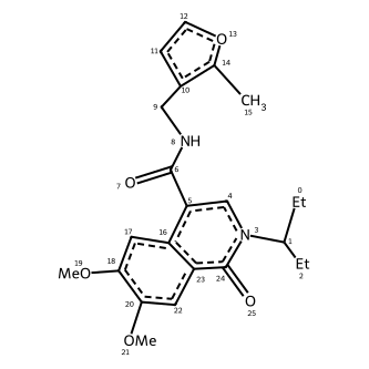 CCC(CC)n1cc(C(=O)NCc2ccoc2C)c2cc(OC)c(OC)cc2c1=O